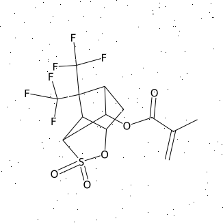 C=C(C)C(=O)OC1C2CC3OS(=O)(=O)C1C3C2(C(F)(F)F)C(F)(F)F